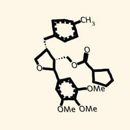 COc1cc(C2OC[C@H](Cc3ccc(C)cc3)[C@@H]2COC(=O)C2CCCC2)cc(OC)c1OC